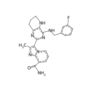 Cc1nc2c(C(N)=O)cccn2c1-c1nc2c(c(NCc3cccc(F)c3)n1)NCCC2